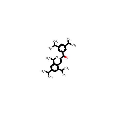 CC(C)c1[c]c(C(C)C)cc(C(=O)C=Cc2c(C(C)C)cc(C(C)C)cc2C(C)C)c1